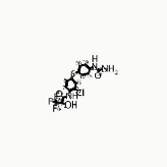 C[C@@](O)(C(=O)Nc1ccc(Sc2ccc(NC(N)=O)cc2)cc1Cl)C(F)(F)F